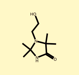 CC1(C)NC(=O)C(C)(C)N1CCO